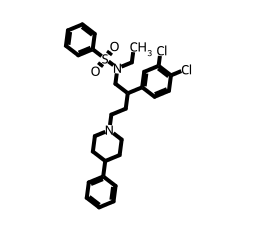 CCN(CC(CCN1CCC(c2ccccc2)CC1)c1ccc(Cl)c(Cl)c1)S(=O)(=O)c1ccccc1